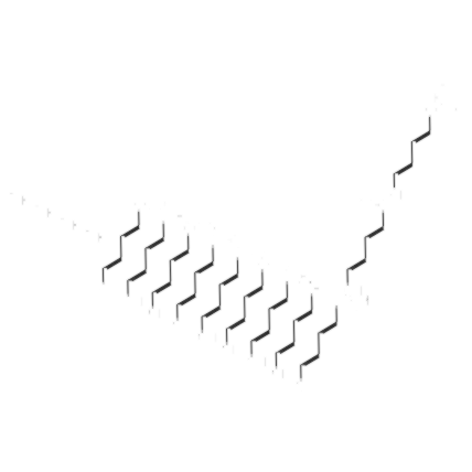 CC=CC=CC(=O)O.CC=CC=CC(=O)[O-].CC=CC=CC(=O)[O-].CC=CC=CC(=O)[O-].CC=CC=CC(=O)[O-].CC=CC=CC(=O)[O-].CC=CC=CC(=O)[O-].CC=CC=CC(=O)[O-].CC=CC=CC(=O)[O-].CC=CC=CC(=O)[O-].CC=CC=CC(=O)[O-].[K+].[K+].[K+].[K+].[K+].[K+].[K+].[K+].[K+].[K+]